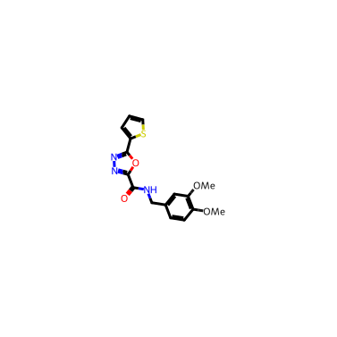 COc1ccc(CNC(=O)c2nnc(-c3cccs3)o2)cc1OC